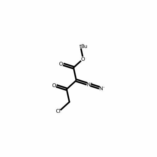 CC(C)(C)OC(=O)C(=[N+]=[N-])C(=O)CCl